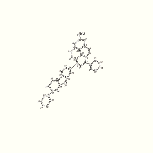 CC(C)(C)c1cc2ccc3c(-c4ccccc4)cc(-c4ccc5c(c4)oc4cc(-c6ccccc6)ccc45)c4ccc(c1)c2c34